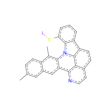 Cc1ccc2c(C)c3c(cc2c1)c1nccc2ccc4c5cccc(SI)c5n3c4c21